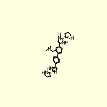 CN(C)Cc1cc(C2=CNC([C@@H]3CCCN3)N2)ccc1-c1ccc(-c2cnc([C@@H]3CCCN3)[nH]2)cc1